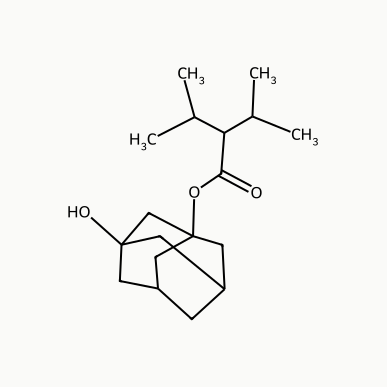 CC(C)C(C(=O)OC12CC3CC(CC(O)(C3)C1)C2)C(C)C